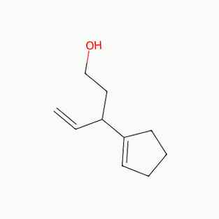 C=CC(CCO)C1=CCCC1